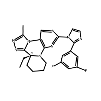 CC[C@]12CCCCN1c1nc(-n3ccnc3-c3cc(F)cc(F)c3)ncc1-n1c(C)nnc12